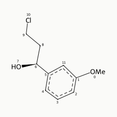 COc1cccc([C@@H](O)CCCl)c1